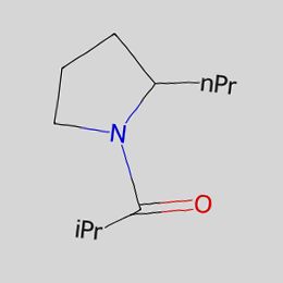 CCCC1CCCN1C(=O)C(C)C